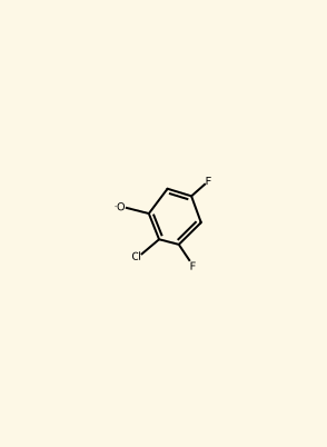 [O]c1cc(F)cc(F)c1Cl